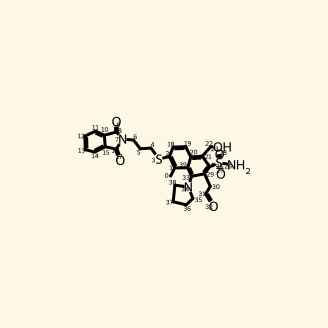 Cc1c(SCCCN2C(=O)c3ccccc3C2=O)ccc2c(CO)c(S(N)(=O)=O)c(CC=O)c(N3CCCC3)c12